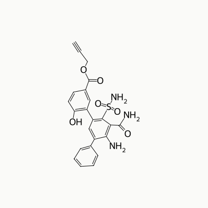 C#CCOC(=O)c1ccc(O)c(-c2cc(-c3ccccc3)c(N)c(C(N)=O)c2S(N)(=O)=O)c1